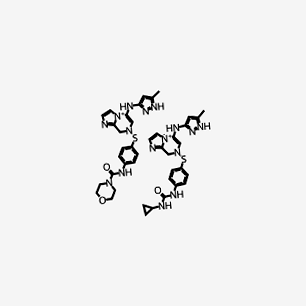 Cc1cc(NC2=CN(Sc3ccc(NC(=O)N4CCOCC4)cc3)CC3=NC=C[N+]23)n[nH]1.Cc1cc(NC2=CN(Sc3ccc(NC(=O)NC4CC4)cc3)CC3=NC=C[N+]23)n[nH]1